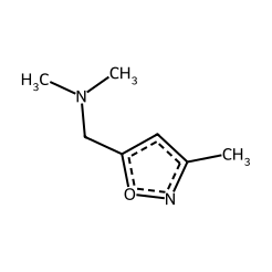 Cc1cc(CN(C)C)on1